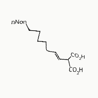 CCCCCCCCCCCCCC/C=C/C(C(=O)O)C(=O)O